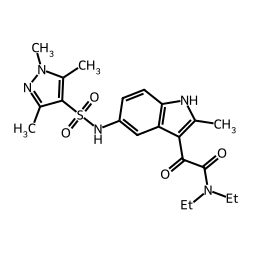 CCN(CC)C(=O)C(=O)c1c(C)[nH]c2ccc(NS(=O)(=O)c3c(C)nn(C)c3C)cc12